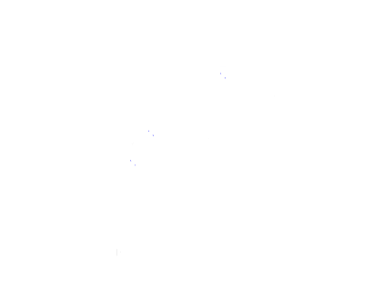 C=Cc1cc(C(C)NC(=O)NCc2ccc(C(C)(C)C)cc2)cc(F)c1NS(C)(=O)=O